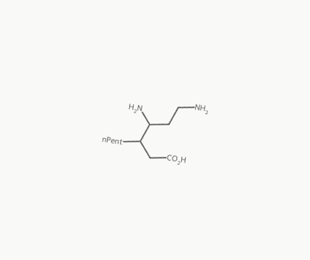 CCCCCC(CC(=O)O)C(N)CCN